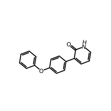 O=c1[nH]cccc1-c1ccc(Oc2ccccc2)cc1